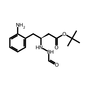 CC(C)(C)OC(=O)C[C@H](Cc1ccccc1N)NBC=O